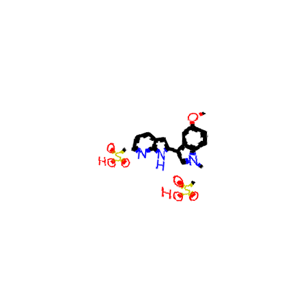 COc1ccc2c(c1)c(-c1cc3cccnc3[nH]1)cn2C.CS(=O)(=O)O.CS(=O)(=O)O